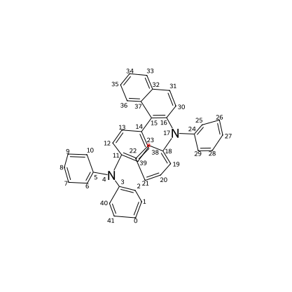 c1ccc(N(c2ccccc2)c2ccc(-c3c(N(c4ccccc4)c4ccccc4)ccc4ccccc34)cc2)cc1